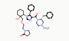 O=C(O)N1CCN(C(=O)c2ncn(C3CCCCC3(O)COCCN3CCCC3=O)c2-c2ccccc2)[C@H](Cc2ccccc2)C1